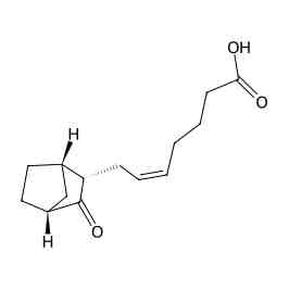 O=C(O)CCC/C=C\C[C@@H]1C(=O)[C@@H]2CC[C@H]1C2